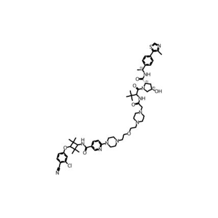 Cc1ncsc1-c1ccc([C@H](C)NC(=O)[C@@H]2C[C@@H](O)CN2C(=O)C(NC(=O)CN2CCN(CCOCCN3CCN(c4ccc(C(=O)NC5C(C)(C)C(Oc6ccc(C#N)c(Cl)c6)C5(C)C)cn4)CC3)CC2)C(C)(C)C)cc1